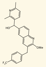 COc1nc2ccc(C(O)c3ccc(C)nc3C)cc2cc1Cc1ccc(C(F)(F)F)cc1